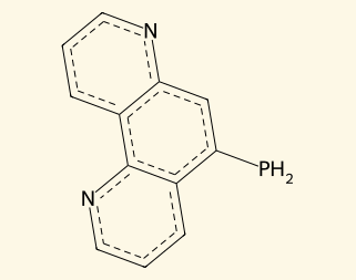 Pc1cc2ncccc2c2ncccc12